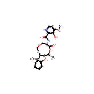 CC[C@H]1CCOC[C@H](NC(=O)c2nccc(OC)c2O)C(=O)O[C@@H](C)[C@@H]1Oc1ccccc1